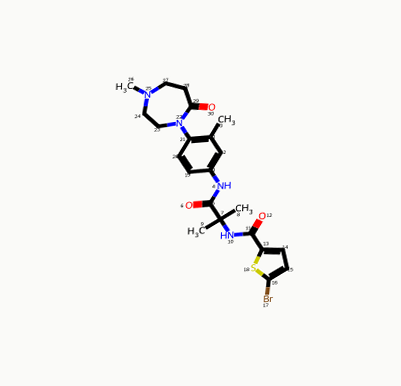 Cc1cc(NC(=O)C(C)(C)NC(=O)c2ccc(Br)s2)ccc1N1CCN(C)CCC1=O